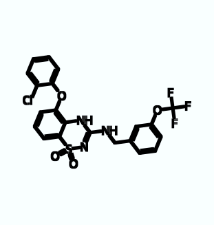 O=S1(=O)N=C(NCc2cccc(OC(F)(F)F)c2)Nc2c(Oc3ccccc3Cl)cccc21